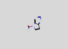 NC(=O)n1ccc2ncncc21